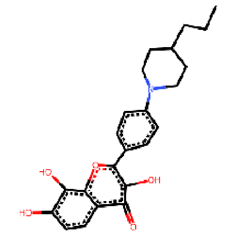 CCCC1CCN(c2ccc(-c3oc4c(O)c(O)ccc4c(=O)c3O)cc2)CC1